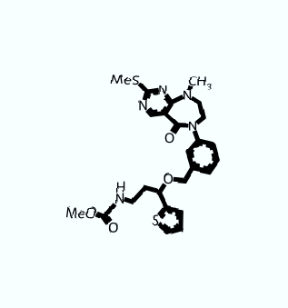 COC(=O)NCCC(OCc1cccc(N2CCN(C)c3nc(SC)ncc3C2=O)c1)c1cccs1